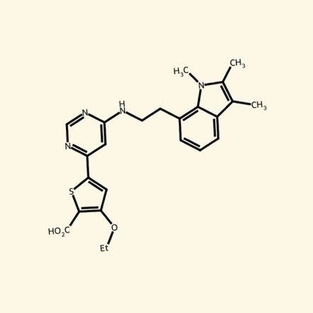 CCOc1cc(-c2cc(NCCc3cccc4c(C)c(C)n(C)c34)ncn2)sc1C(=O)O